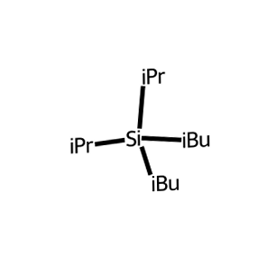 CCC(C)[Si](C(C)C)(C(C)C)C(C)CC